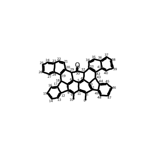 Cc1c2c3c4c5c6c7c(c(C)c15)-c1ccccc1C7c1c(ccc5ccccc15)C6C(=O)C4c1ccc4ccccc4c1C3c1ccccc1-2